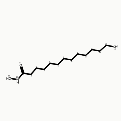 O=C(CCCCCCCCCCCCS)NO